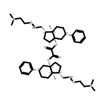 CN(C)CCONC[C@H]1CC[C@]2(OC(=O)C(=O)O[C@]34CC[C@H](CNOCCN(C)C)[C@@]3(C)CC[C@H](c3ccccc3)C4)C[C@@H](c3ccccc3)CC[C@]12C